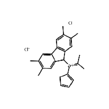 C[C](C)=[Zr+2]([C]1=CC=CC1)[CH]1c2cc(C)c(C)cc2-c2cc(C)c(C)cc21.[Cl-].[Cl-]